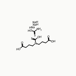 NC(O)=S.O=C(O)CCCN(CCCC(=O)O)C(O)=S.[NaH].[NaH].[NaH]